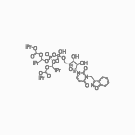 CC(C)OC(=O)OC(OP(=O)(OC(OC(=O)OC(C)C)C(C)C)OP(=O)(O)OC[C@H]1O[C@@H](n2ccc(=O)n(Cc3noc4ccccc34)c2=O)C(O)C1O)C(C)C